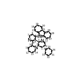 c1ccc(-c2cccnc2-c2ccccn2)nc1.c1ccc2c(c1)[nH]c1ccccc12.c1ccccc1